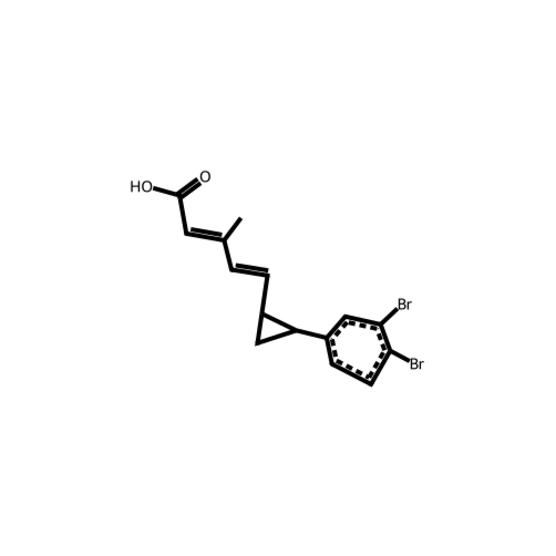 CC(/C=C/C1CC1c1ccc(Br)c(Br)c1)=C\C(=O)O